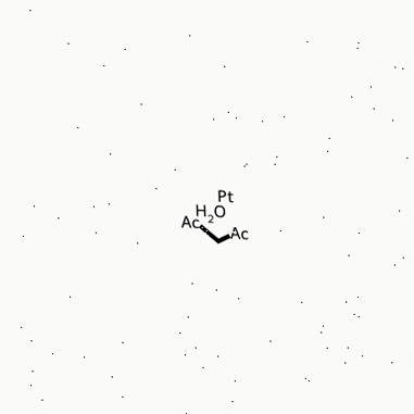 CC(=O)CC(C)=O.O.[Pt]